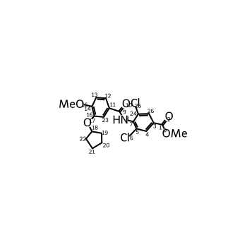 COC(=O)c1cc(Cl)c(NC(=O)c2ccc(OC)c(OC3CCCC3)c2)c(Cl)c1